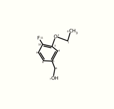 CCOc1cc(CO)ccc1F